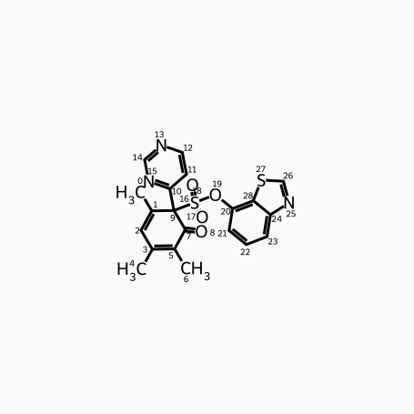 CC1=CC(C)=C(C)C(=O)C1(c1ccncn1)S(=O)(=O)Oc1cccc2ncsc12